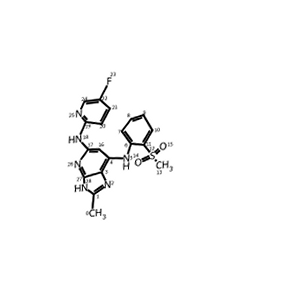 Cc1nc2c(Nc3ccccc3S(C)(=O)=O)cc(Nc3ccc(F)cn3)nc2[nH]1